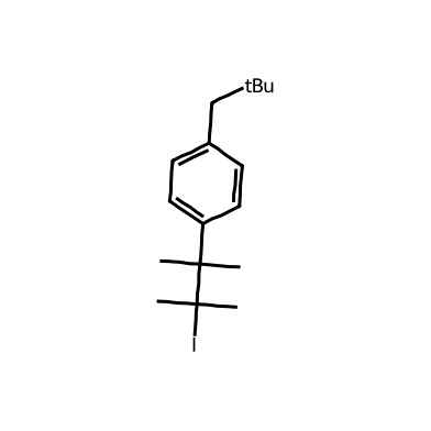 CC(C)(C)Cc1ccc(C(C)(C)C(C)(C)I)cc1